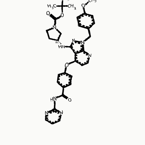 COc1ccc(Cn2nc(N[C@@H]3CCN(C(=O)OC(C)(C)C)C3)c3c(Oc4ccc(C(=O)Nc5ncccn5)cc4)ccnc32)cc1